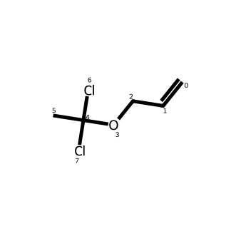 C=CCOC(C)(Cl)Cl